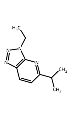 CCn1nnc2ccc(C(C)C)nc21